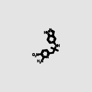 CC(C)(Cc1ccc([N+](=O)[O-])c(N)n1)Nc1ccc2[nH]ncc2c1